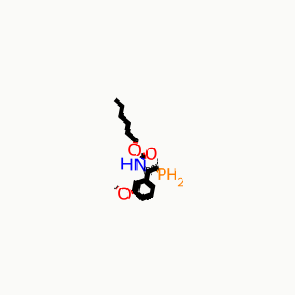 CCCCCCOC(=O)N[C@H](c1cccc(OC)c1)[C@H](C)P